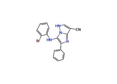 N#Cc1c[nH]n2c(Nc3ccccc3Br)c(-c3ccccc3)nc12